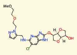 COCCOCCn1nccc1CNc1nc2nc(O[C@@H]3CO[C@H]4[C@@H]3OC[C@H]4O)[nH]c2cc1Cl